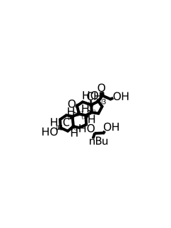 CCCCC(O)CO.C[C@]12CC[C@@H](O)C[C@H]1CC[C@@H]1[C@@H]2C(=O)C[C@@]2(C)[C@H]1CC[C@]2(O)C(=O)CO